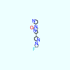 O=C1N(c2cccnc2)Cc2cc(-c3ccc(N4CC[C@H](F)C4)nc3)cn21